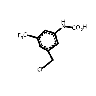 O=C(O)Nc1cc(CCl)cc(C(F)(F)F)c1